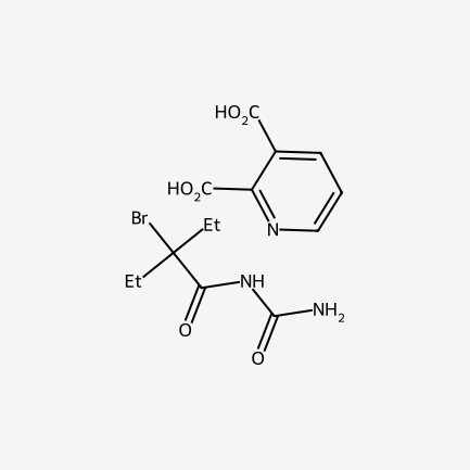 CCC(Br)(CC)C(=O)NC(N)=O.O=C(O)c1cccnc1C(=O)O